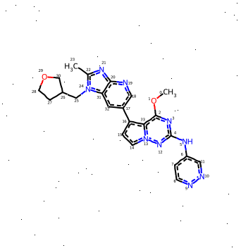 COc1nc(Nc2ccnnc2)nn2ccc(-c3cnc4nc(C)n(CC5CCOC5)c4c3)c12